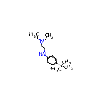 [CH2]C(C)(C)c1ccc(NCCN(CC)CC)cc1